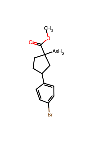 COC(=O)C1([AsH2])CCC(c2ccc(Br)cc2)C1